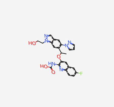 CC(Oc1cc2cc(F)ccc2nc1NC(=O)O)c1cc2c(cnn2CCO)cc1-n1cccn1